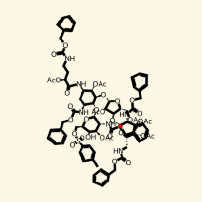 CC(=O)OC[C@H]1O[C@@H](O[C@@H]2[C@@H](OC(C)=O)[C@H](NC(=O)[C@H](CCNC(=O)OCc3ccccc3)OC(C)=O)C[C@H](NC(=O)OCc3ccccc3)[C@H]2O[C@H]2O[C@H](COS(=O)(=O)c3ccc(C)cc3)[C@@H](O)[C@H](OC(C)=O)[C@H]2NC(=O)OCc2ccccc2)[C@H](OC(C)=O)[C@@H]1O[C@H]1O[C@@H](CNC(=O)OCc2ccccc2)[C@@H](OC(C)=O)[C@H](OC(C)=O)[C@H]1NC(=O)OCc1ccccc1